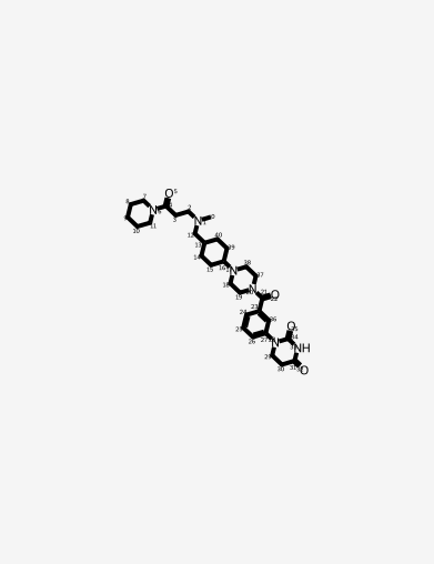 CN(CCC(=O)N1CCCCC1)CC1CCC(N2CCN(C(=O)c3cccc(N4CCC(=O)NC4=O)c3)CC2)CC1